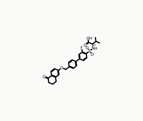 CC(C)[C@@H](NS(=O)(=O)c1ccc(-c2ccc(COc3ccc4c(c3)CCCC4=O)cc2)cc1F)C(=O)O